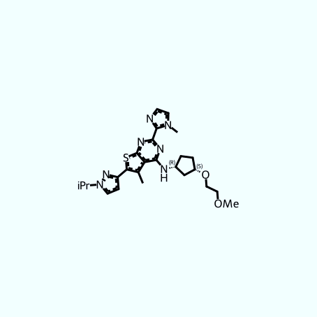 COCCO[C@H]1CC[C@@H](Nc2nc(-c3nccn3C)nc3sc(-c4ccn(C(C)C)n4)c(C)c23)C1